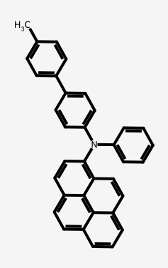 Cc1ccc(-c2ccc(N(c3ccccc3)c3ccc4ccc5cccc6ccc3c4c56)cc2)cc1